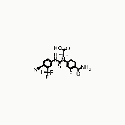 CC(C)(C(=O)O)N(C(=S)Nc1ccc(C#N)c(C(F)(F)F)c1)C1=CC(F)=C(C(N)=O)CC1